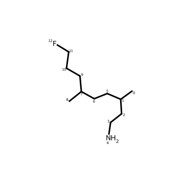 CC(CCN)CCC(C)CCCF